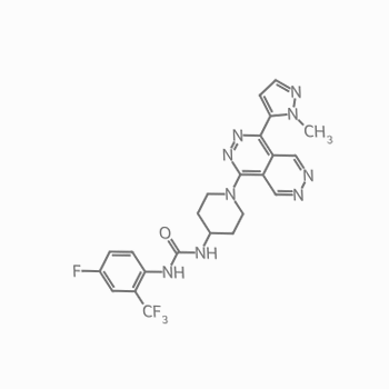 Cn1nccc1-c1nnc(N2CCC(NC(=O)Nc3ccc(F)cc3C(F)(F)F)CC2)c2cnncc12